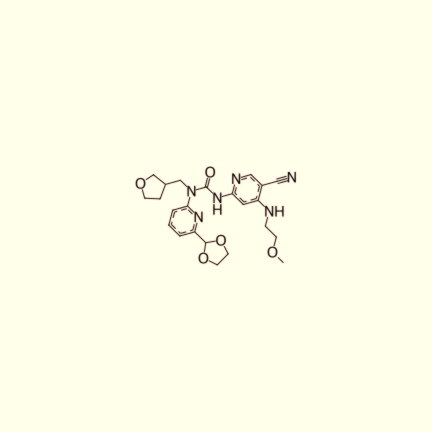 COCCNc1cc(NC(=O)N(CC2CCOC2)c2cccc(C3OCCO3)n2)ncc1C#N